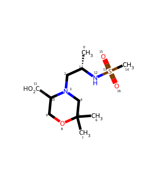 C[C@@H](CN1CC(C)(C)OCC1C(=O)O)NS(C)(=O)=O